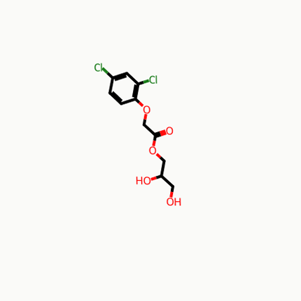 O=C(COc1ccc(Cl)cc1Cl)OCC(O)CO